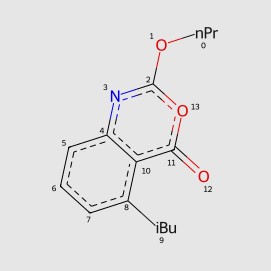 CCCOc1nc2cccc(C(C)CC)c2c(=O)o1